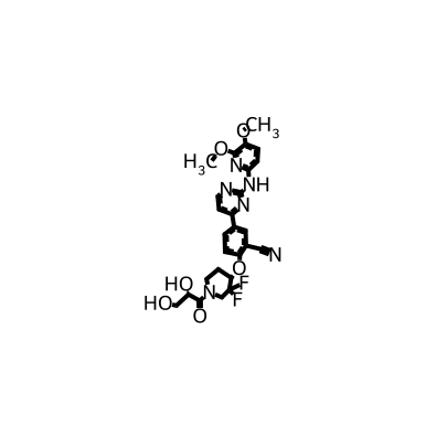 COc1ccc(Nc2nccc(-c3ccc(OC4CCN(C(=O)[C@@H](O)CO)CC4(F)F)c(C#N)c3)n2)nc1OC